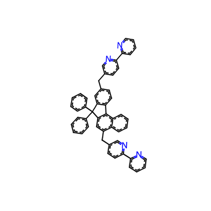 c1ccc(C2(c3ccccc3)c3cc(Cc4ccc(-c5ccccn5)nc4)ccc3-c3c2cc(Cc2ccc(-c4ccccn4)nc2)c2ccccc32)cc1